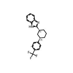 FC(F)(F)c1[c]cc([C@@H]2CCC[C@H](c3nc4ccccc4[nH]3)C2)cc1